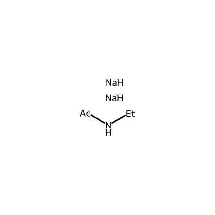 CCNC(C)=O.[NaH].[NaH]